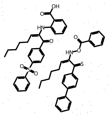 CCCCCC=C(NOC(=O)c1ccccc1)C(=S)c1ccc(-c2ccccc2)cc1.CCCCCC=C(Nc1ccccc1C(=O)O)C(=O)c1ccc(S(=O)(=O)c2ccccc2)cc1